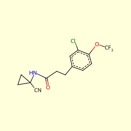 N#CC1(NC(=O)CCc2ccc(OC(F)(F)F)c(Cl)c2)CC1